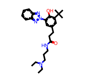 CCN(CC)CCCNC(=O)CCc1cc(-n2nc3ccccc3n2)c(O)c(C(C)(C)C)c1